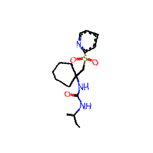 CC(C)NC(=O)NC1(CS(=O)(=O)c2ccccn2)CCCCC1